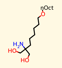 CCCCCCCCOCCCCCCC(N)(CO)CO